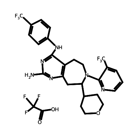 Nc1nc2c(c(Nc3ccc(C(F)(F)F)cc3)n1)CCN(c1ncccc1C(F)(F)F)C(C1CCOCC1)C2.O=C(O)C(F)(F)F